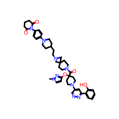 Cn1ccc(OC2(C(=O)N3CCC4(CC3)CN(CCC3CCN(c5ccc(N6C(=O)CCCC6=O)cc5)CC3)C4)CCN(c3cnnc(-c4ccccc4O)c3)CC2)n1